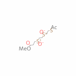 COC(=O)CC[S+]([O-])CC[S+]([O-])CCSC(C)=O